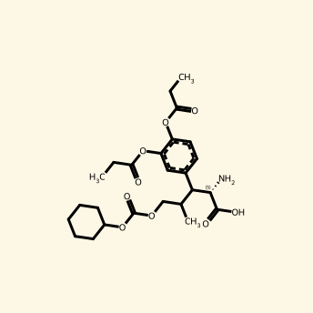 CCC(=O)Oc1ccc(C(C(C)COC(=O)OC2CCCCC2)[C@H](N)C(=O)O)cc1OC(=O)CC